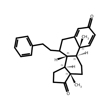 C[C@]12C=CC(=O)C=C1CC(CCc1ccccc1)[C@@H]1[C@@H]2CC[C@]2(C)C(=O)CC[C@@H]12